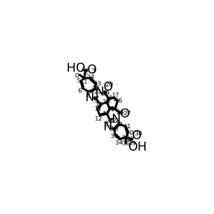 CC1(C(=O)O)C=Cc2nc3c4ccc5c6c(ccc(c(=O)n3c2C=C1)c46)c(=O)n1c2c(nc51)C=CC(C)(C(=O)O)C=C2